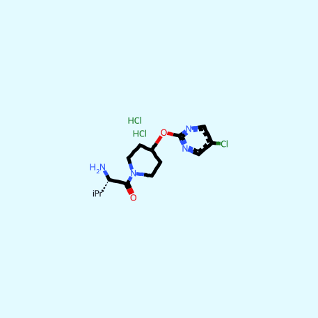 CC(C)[C@H](N)C(=O)N1CCC(Oc2ncc(Cl)cn2)CC1.Cl.Cl